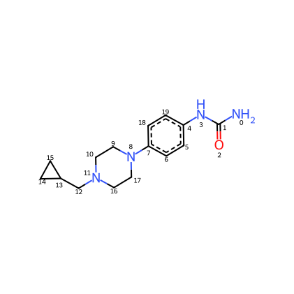 NC(=O)Nc1ccc(N2CCN(CC3CC3)CC2)cc1